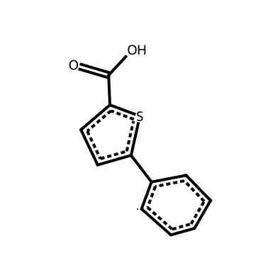 O=C(O)c1ccc(-c2[c]cccc2)s1